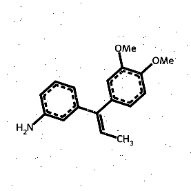 CC=C(c1cccc(N)c1)c1ccc(OC)c(OC)c1